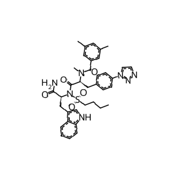 CCCCS(=O)(=O)N(C(=O)[C@H](Cc1ccc(-n2ccnn2)cc1)N(C)C(=O)c1cc(C)cc(C)c1)[C@@H](Cc1c[nH]c2ccccc12)C(N)=O